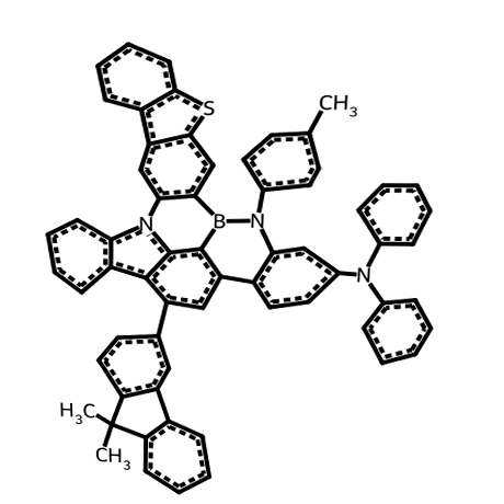 Cc1ccc(N2B3c4cc5sc6ccccc6c5cc4-n4c5ccccc5c5c(-c6ccc7c(c6)-c6ccccc6C7(C)C)cc(c3c54)-c3ccc(N(c4ccccc4)c4ccccc4)cc32)cc1